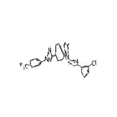 FC(F)(F)c1ccc(-n2cnc(-c3ccc(NC4=NC(c5cccc(Cl)c5)CS4)cc3)n2)cc1